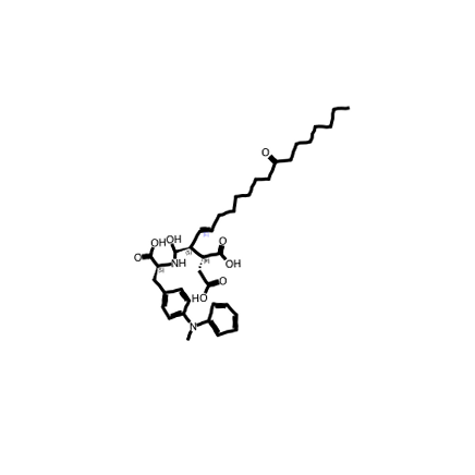 CCCCCCCC(=O)CCCCCC/C=C/[C@H](C(O)N[C@@H](Cc1ccc(N(C)c2ccccc2)cc1)C(=O)O)[C@@H](CC(=O)O)C(=O)O